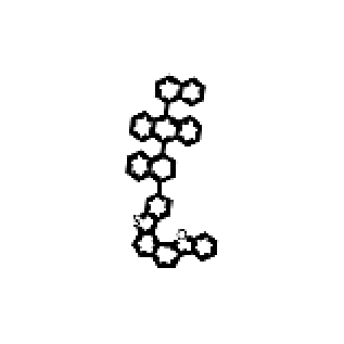 c1ccc2c(c1)=C(c1ccc3c(c1)sc1ccc4ccc5c6ccccc6oc5c4c13)CCC=2c1c2ccccc2c(-c2cccc3ccccc23)c2ccccc12